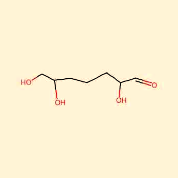 O=CC(O)CCCC(O)CO